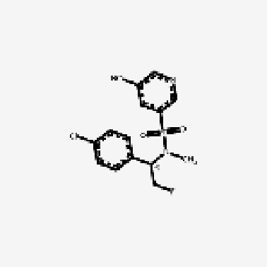 CN([C@@H](CF)c1ccc(Cl)cc1)S(=O)(=O)c1cncc(C#N)c1